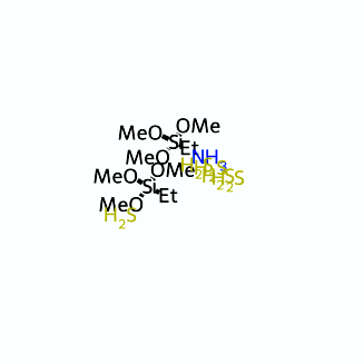 CC[Si](OC)(OC)OC.CC[Si](OC)(OC)OC.N.S.S.S.S.S